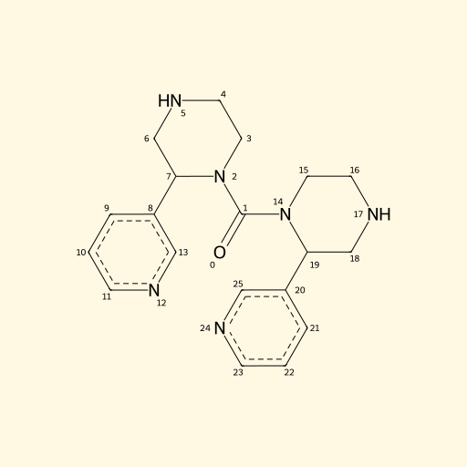 O=C(N1CCNCC1c1cccnc1)N1CCNCC1c1cccnc1